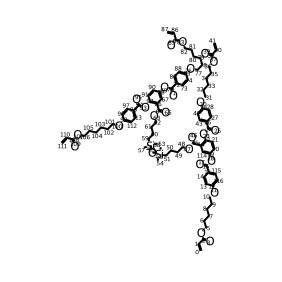 C=CC(=O)OCCCCCCOc1ccc(C(=O)Oc2ccc(OC(=O)c3ccc(OCCCCCCOC(=O)C=C)cc3)c(C(=O)OCCCC[Si](C)(C)O[Si](C)(C)CCCCOC(=O)c3cc(OC(=O)c4ccc(OCCCCCCOC(=O)C=C)cc4)ccc3OC(=O)c3ccc(OCCCCCCOC(=O)C=C)cc3)c2)cc1